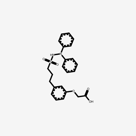 O=C(O)COc1cccc(CCCS(=O)(=O)NN(c2ccccc2)c2ccccc2)c1